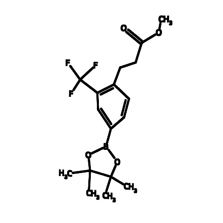 COC(=O)CCc1ccc(B2OC(C)(C)C(C)(C)O2)cc1C(F)(F)F